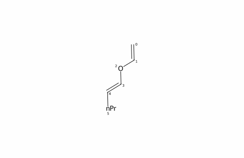 C=COC=CCCC